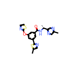 Cc1cnc([C@@H](C)NC(=O)c2cc(Oc3nccs3)cc(-c3ncc(C)s3)c2)cn1